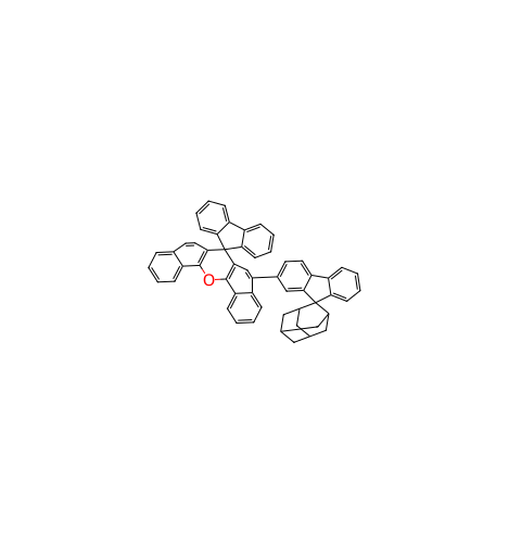 c1ccc2c(c1)-c1ccccc1C21c2ccc3ccccc3c2Oc2c1cc(-c1ccc3c(c1)C1(c4ccccc4-3)C3CC4CC(C3)CC1C4)c1ccccc21